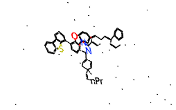 C/C=C\C(=C/C\C=C/C(=C\C)C(=N/C)/N=C(/C1=CCC(C)(/C=C\CCC)C=C1)c1ccc(-c2cccc3c2sc2ccccc23)c2oc3ccccc3c12)c1ccccc1